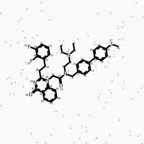 CCN(CC)CCN(Cc1ccc(-c2ccc(SC)cc2)cc1)C(=O)Cn1c(CCc2cccc(F)c2F)nc(=O)c2ccccc21